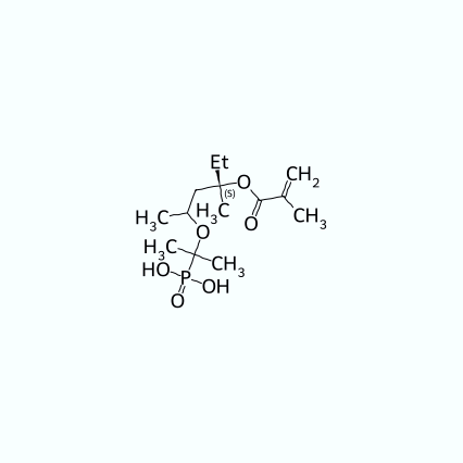 C=C(C)C(=O)O[C@@](C)(CC)CC(C)OC(C)(C)P(=O)(O)O